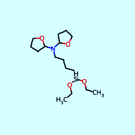 CCO[SiH](CCCCN(C1CCCO1)C1CCCO1)OCC